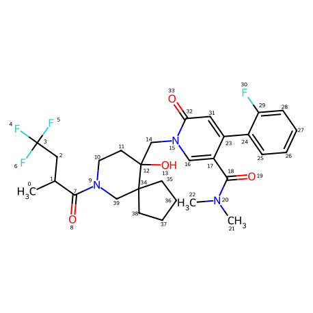 CC(CC(F)(F)F)C(=O)N1CCC(O)(Cn2cc(C(=O)N(C)C)c(-c3ccccc3F)cc2=O)C2(CCCC2)C1